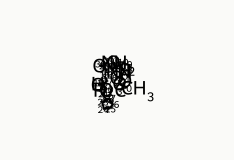 CC(C)(C)OC(=O)N1CCC[C@H]1C(=O)N[C@H](CCC(=O)OCc1ccccc1)C(N)=O